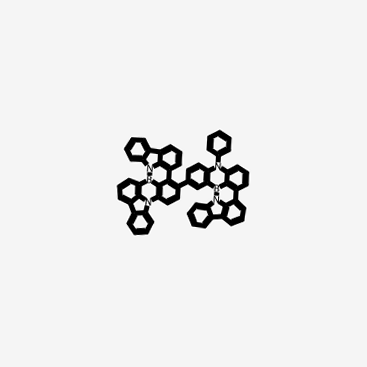 c1ccc(N2c3ccc(-c4ccc5c6c4-c4cccc7c8ccccc8n(c47)B6c4cccc6c7ccccc7n-5c46)cc3B3c4c(cccc42)-c2cccc4c5ccccc5n3c24)cc1